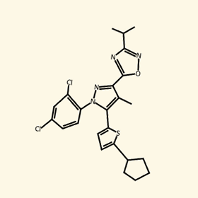 Cc1c(-c2nc(C(C)C)no2)nn(-c2ccc(Cl)cc2Cl)c1-c1ccc(C2CCCC2)s1